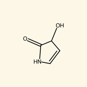 O=C1NC=CC1O